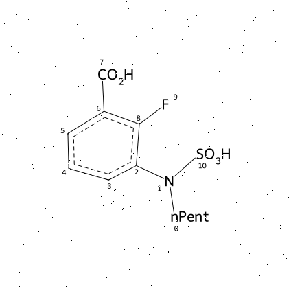 CCCCCN(c1cccc(C(=O)O)c1F)S(=O)(=O)O